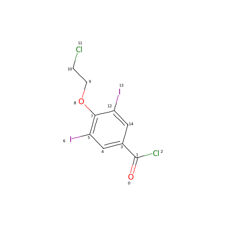 O=C(Cl)c1cc(I)c(OCCCl)c(I)c1